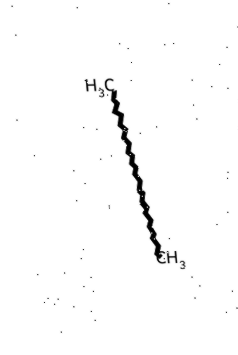 CCCCCCCCC=CC=CCCCCCCCCCCCCCCCC